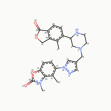 Cc1c(C2CN(Cc3cnn(-c4ccc5oc(=O)n(C)c5c4C)c3)CCN2)ccc2c1COC2=O